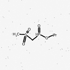 CC(C)O[PH](=O)CS(C)(=O)=O